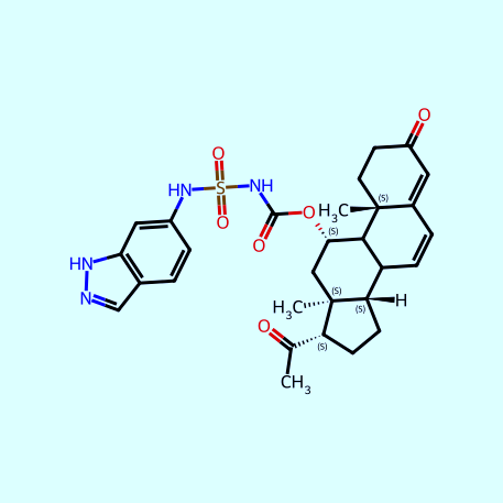 CC(=O)[C@H]1CC[C@H]2C3C=CC4=CC(=O)CC[C@@]4(C)C3[C@@H](OC(=O)NS(=O)(=O)Nc3ccc4cn[nH]c4c3)C[C@]12C